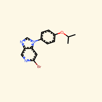 CC(C)Oc1ccc(-n2cnc3cnc(Br)cc32)cc1